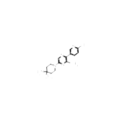 Cc1nc(N2CCC(C)(N)CC2)cnc1-c1ccc(Cl)nc1